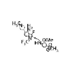 COc1cc(S(C)(=O)=O)ccc1NCC#Cc1c(F)c2c(N)c(C3CCN(C)CC3)ccc2n1CC(F)(F)F